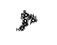 O=C(Nc1cc(F)cc(F)c1)Nc1cc(F)c(F)c(C(=O)c2ccc3ncc(N4CCNCC4)nc3c2)c1